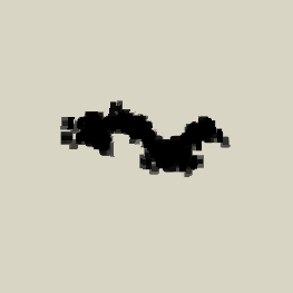 Cc1ncsc1-c1ccc(CNC(=O)[C@@H]2C[C@@H](O)CN2C(=O)C(NC(=O)COCCCOc2ccc(-c3cnc(NC(=O)C[C@@H]4N=C(c5ccc(Cl)cc5)c5c(sc(C)c5C)-n5c(C)nnc54)cn3)cc2F)C(C)(C)C)cc1